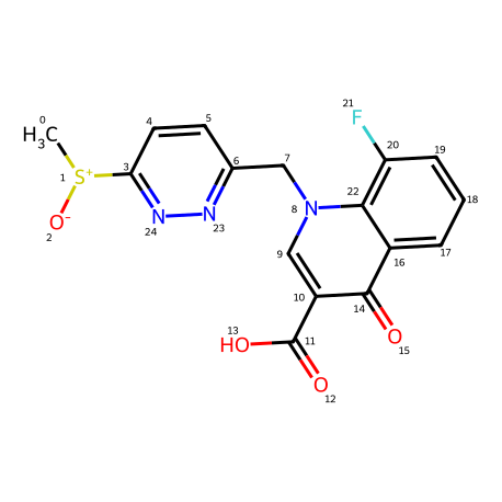 C[S+]([O-])c1ccc(Cn2cc(C(=O)O)c(=O)c3cccc(F)c32)nn1